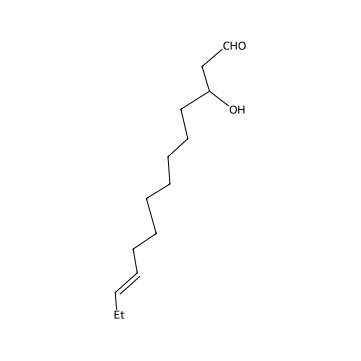 CCC=CCCCCCCCC(O)CC=O